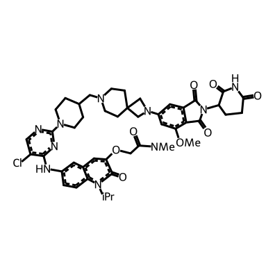 CNC(=O)COc1cc2cc(Nc3nc(N4CCC(CN5CCC6(CC5)CN(c5cc(OC)c7c(c5)C(=O)N(C5CCC(=O)NC5=O)C7=O)C6)CC4)ncc3Cl)ccc2n(C(C)C)c1=O